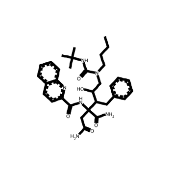 CCCCN(CC(O)C(Cc1ccccc1)C(CC(N)=O)(NC(=O)c1ccc2ccccc2n1)C(N)=O)C(=O)NC(C)(C)C